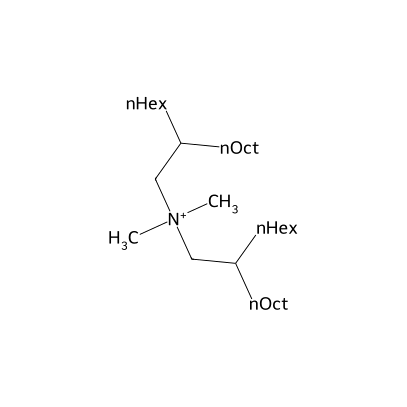 CCCCCCCCC(CCCCCC)C[N+](C)(C)CC(CCCCCC)CCCCCCCC